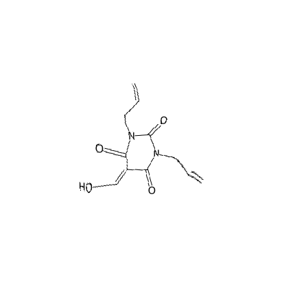 C=CCN1C(=O)C(=CO)C(=O)N(CC=C)C1=O